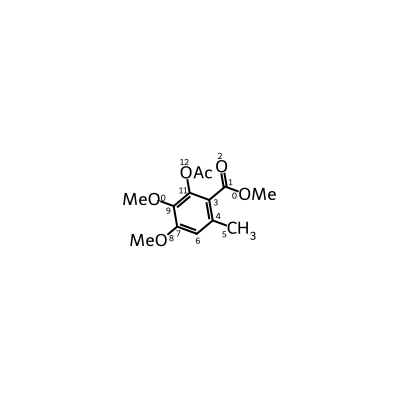 COC(=O)c1c(C)cc(OC)c(OC)c1OC(C)=O